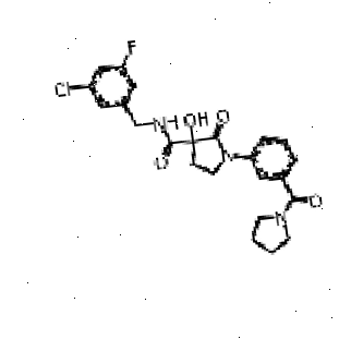 O=C(c1cccc(N2CCC(O)(C(=O)NCc3cc(F)cc(Cl)c3)C2=O)c1)N1CCCC1